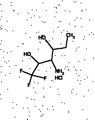 CCC(O)C(N)C(O)C(F)(F)F.Cl